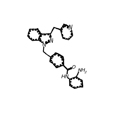 Nc1ccccc1NC(=O)c1ccc(Cn2nc(Cc3cccnc3)c3ccccc32)cc1